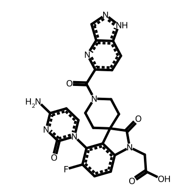 Nc1ccn(-c2c(F)ccc3c2C2(CCN(C(=O)c4ccc5[nH]ncc5n4)CC2)C(=O)N3CC(=O)O)c(=O)n1